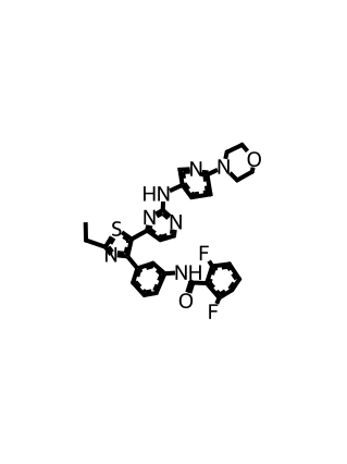 CCc1nc(-c2cccc(NC(=O)c3c(F)cccc3F)c2)c(-c2ccnc(Nc3ccc(N4CCOCC4)nc3)n2)s1